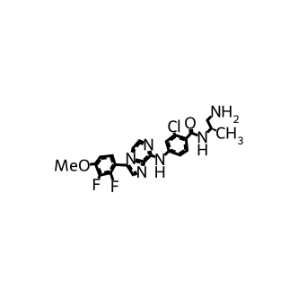 COc1ccc(-c2cnc3c(Nc4ccc(C(=O)N[C@H](C)CN)c(Cl)c4)nccn23)c(F)c1F